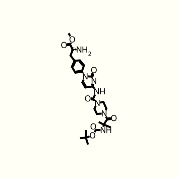 COC(=O)[C@@H](N)Cc1ccc(-n2ccc(NC(=O)N3CCN(C(=O)C(C)(C)NC(=O)OC(C)(C)C)CC3)nc2=O)cc1